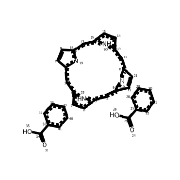 C1=Cc2cc3ccc(cc4nc(cc5ccc(cc1n2)[nH]5)C=C4)[nH]3.O=C(O)c1ccccc1.O=C(O)c1ccccc1